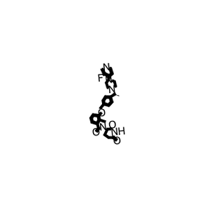 C[C@H](c1ccc(COc2cccc3c2CN(C2CCC(=O)NC2=O)C3=O)cc1)N1CCN(c2ccncc2F)CC1